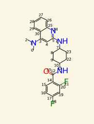 CN(C)c1cc(NC2CCC(NC(=O)c3ccc(F)cc3F)CC2)nc2ccccc12